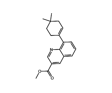 COC(=O)c1cnc2c(C3=CCC(C)(C)CC3)cccc2c1